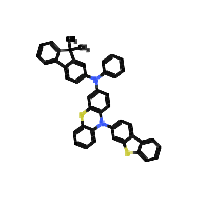 CC1(C)c2ccccc2-c2ccc(N(c3ccccc3)c3ccc4c(c3)Sc3ccccc3N4c3ccc4c(c3)sc3ccccc34)cc21